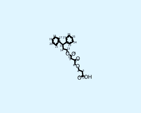 O=C(O)CCOCC(=O)CC(=O)OCCC(c1ccccc1)c1ccccc1